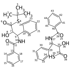 CC(C)(C)SC(=O)C(O)C(NC(=O)c1ccccc1)c1ccccc1.O=C(NC(c1ccccc1)C(O)C(=O)S)c1ccccc1